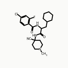 CN1CCC(C#N)(NC(=O)C(CC2CCCCC2)NC(=O)c2ccc(Cl)cc2F)CC1